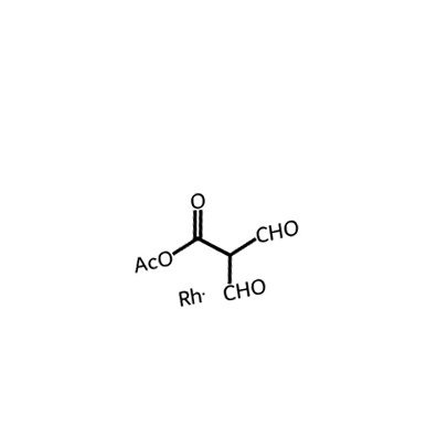 CC(=O)OC(=O)C(C=O)C=O.[Rh]